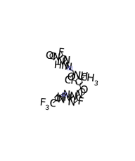 Cc1cc(C2CN(c3nc(N/N=C\c4ccc(C(F)(F)F)cn4)ncc3F)CCO2)cc(Cl)c1NC(=O)C/C=N/Nc1ncc(F)c(N2CCOCC2)n1